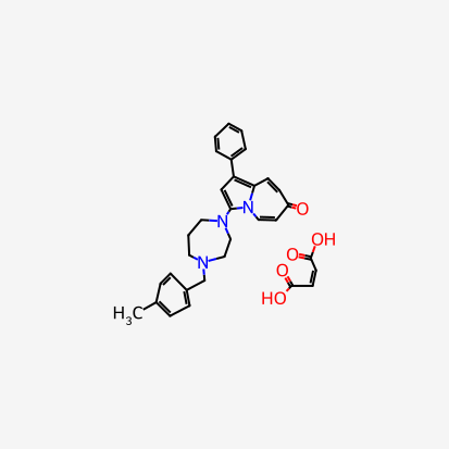 Cc1ccc(CN2CCCN(c3cc(-c4ccccc4)c4ccc(=O)ccn34)CC2)cc1.O=C(O)/C=C\C(=O)O